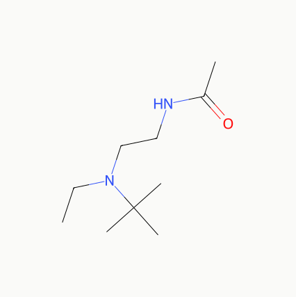 CCN(CCNC(C)=O)C(C)(C)C